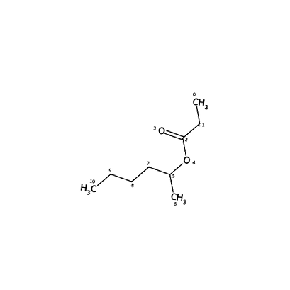 C[CH]C(=O)OC(C)CCCC